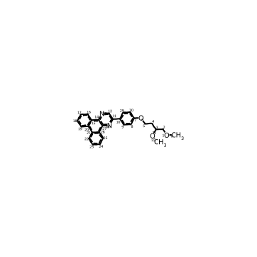 COCC(CCOc1ccc(-c2cnc3c4ccccc4c4ccccc4c3n2)cc1)OC